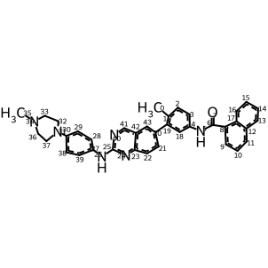 Cc1ccc(NC(=O)c2cccc3ccccc23)cc1-c1ccc2nc(Nc3ccc(N4CCN(C)CC4)cc3)ncc2c1